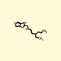 C=CCC(CC)CCNCc1nc2cscc2[nH]1